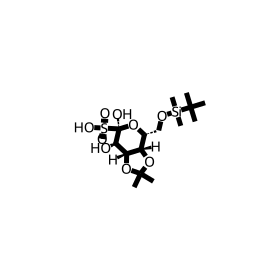 CC1(C)O[C@@H]2[C@H](O1)[C@@H](O)[C@@](O)(S(=O)(=O)O)O[C@@H]2CO[Si](C)(C)C(C)(C)C